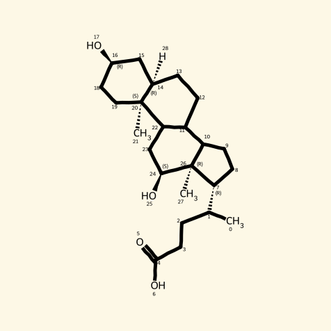 CC(CCC(=O)O)[C@H]1CCC2C3CC[C@@H]4C[C@H](O)CC[C@]4(C)C3C[C@H](O)[C@@]21C